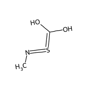 CN=S=C(O)O